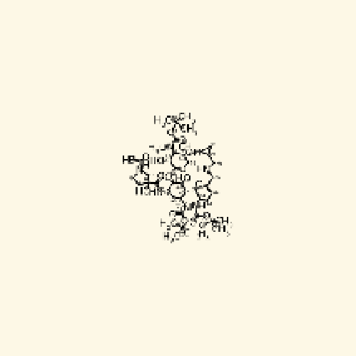 B=C(O)N1CCC(O)(C(=O)N[C@@H]2C[C@H](NC(=O)OC(C)(C)C)[C@@H](C3OC(CNCC4CC4)=CC[C@H]3NC(=O)OC(C)(C)C)[C@H](O)[C@H]2O[C@H]2OC[C@](C)(O)[C@H](N(C)C(=O)OC(C)(C)C)[C@H]2O)C1